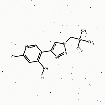 CC(C)Nc1cc(Cl)ncc1-c1cn(CS(C)(C)C)nn1